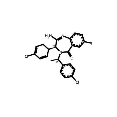 C[C@H](c1ccc(Cl)cc1)N1C(=O)c2cc(I)ccc2N=C(N)[C@@H]1C1C=CC(Cl)=CC1